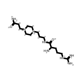 N=C(N)NCCCC(N)C(=O)NCCCN1CCN(CCC(N)=O)CC1